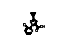 O=C(O)c1cc(C2CC2)nn1-c1ncccc1Cl